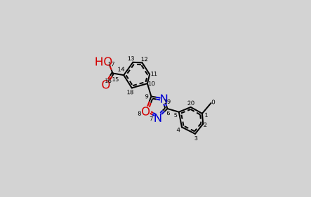 Cc1cccc(-c2noc(-c3cccc(C(=O)O)c3)n2)c1